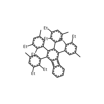 CCc1cc(C)cc(-c2c(-c3cc(C)cc(CC)c3CC)c(-c3cc(C)cc(CC)c3CC)c3c(c2-c2cc(C)cc(CC)c2CC)=c2ccccc2=3)c1CC